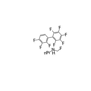 CCCNCF.Fc1ccc(-c2c(F)c(F)c(F)c(F)c2F)c(F)c1F